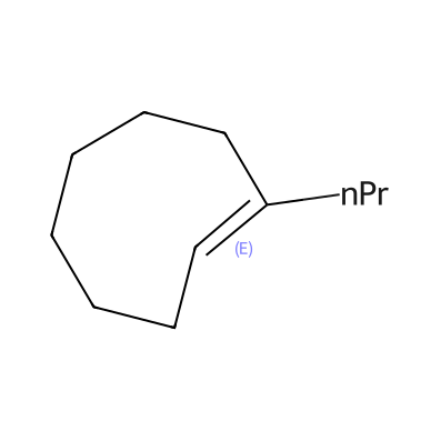 CCC/C1=C\CCCCCC1